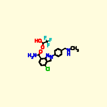 CNCc1ccc(-n2cc3c(Cl)ccc(C(N)=O)c3n2)cc1.O=C(O)C(F)(F)F